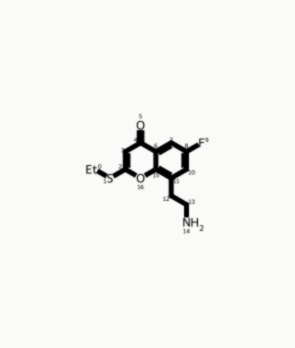 CCSc1cc(=O)c2cc(F)cc(CCN)c2o1